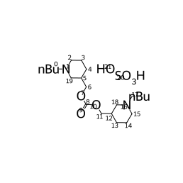 CCCCN1CCCC(COC(=O)OCC2CCCN(CCCC)C2)C1.O=S(=O)(O)O